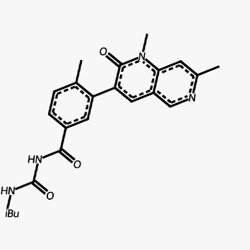 CCC(C)NC(=O)NC(=O)c1ccc(C)c(-c2cc3cnc(C)cc3n(C)c2=O)c1